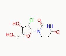 O=c1ccn([C@@H]2O[C@H](CO)C(O)C2Cl)c(=O)[nH]1